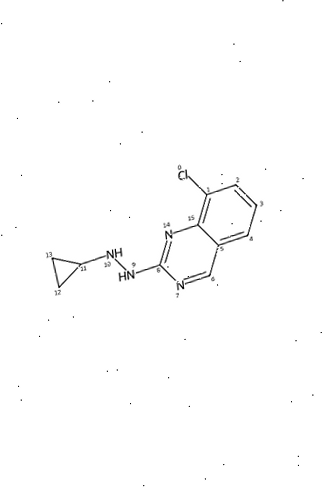 Clc1cccc2cnc(NNC3CC3)nc12